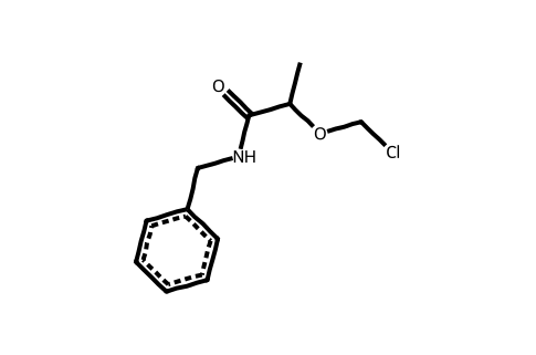 CC(OCCl)C(=O)NCc1ccccc1